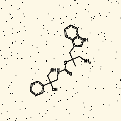 CC(CN)(Cc1c[nH]c2ccccc12)OC(=O)NCC(O)(CO)c1ccccc1